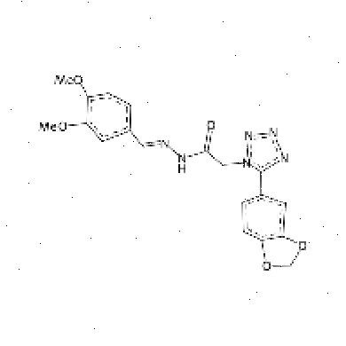 COc1ccc(C=NNC(=O)Cn2nnnc2-c2ccc3c(c2)OCO3)cc1OC